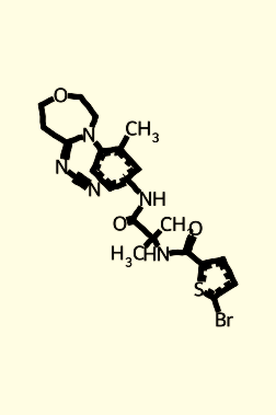 Cc1cc(NC(=O)C(C)(C)NC(=O)c2ccc(Br)s2)ccc1N1CCOCC/C1=N/C#N